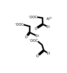 CCC(=O)CC(=O)[O-].CCC(=O)CC(=O)[O-].CCC(=O)CC(=O)[O-].[Al+3]